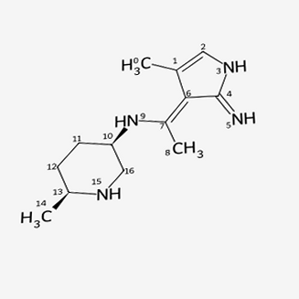 CC1=CNC(=N)/C1=C(\C)N[C@@H]1CC[C@H](C)NC1